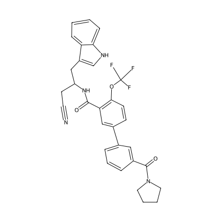 N#CCC(Cc1c[nH]c2ccccc12)NC(=O)c1cc(-c2cccc(C(=O)N3CCCC3)c2)ccc1OC(F)(F)F